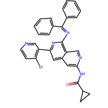 CCc1ccncc1-c1cc2cc(NC(=O)C3CC3)ncc2c(N=C(c2ccccc2)c2ccccc2)n1